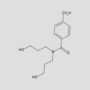 O=C(O)c1ccc(C(=O)N(CCCO)CCCO)cc1